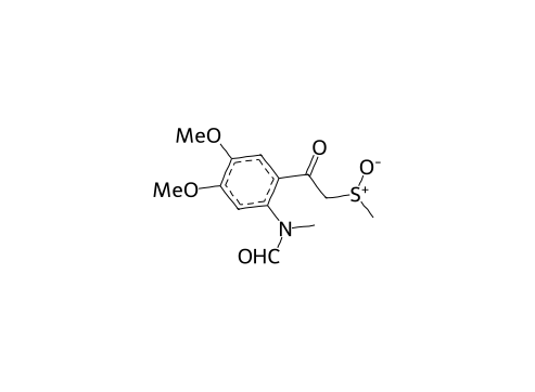 COc1cc(C(=O)C[S+](C)[O-])c(N(C)C=O)cc1OC